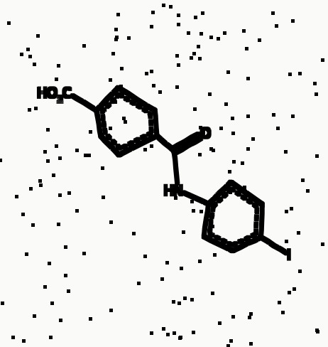 O=C(O)c1ccc(C(=O)Nc2ccc(I)cc2)cc1